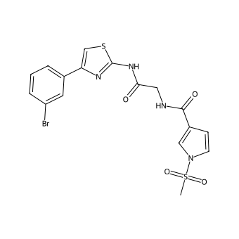 CS(=O)(=O)n1ccc(C(=O)NCC(=O)Nc2nc(-c3cccc(Br)c3)cs2)c1